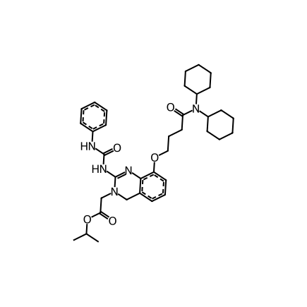 CC(C)OC(=O)CN1Cc2cccc(OCCCC(=O)N(C3CCCCC3)C3CCCCC3)c2N=C1NC(=O)Nc1ccccc1